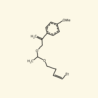 C=C(COC(C)OCC/C=C\CC)c1ccc(OC)cc1